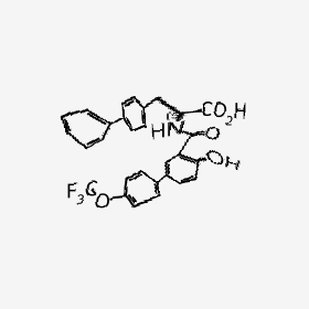 O=C(N[C@@H](Cc1ccc(-c2ccccc2)cc1)C(=O)O)c1cc(-c2ccc(OC(F)(F)F)cc2)ccc1O